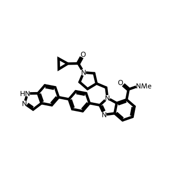 CNC(=O)c1cccc2nc(-c3ccc(-c4ccc5[nH]ncc5c4)cc3)n(CC3CCN(C(=O)C4CC4)C3)c12